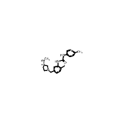 CN[C@@H]1CCN(Cc2ccc(F)c(NC(=O)Nc3ccc(C)nc3)c2)C1